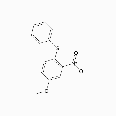 COc1ccc(Sc2ccccc2)c([N+](=O)[O-])c1